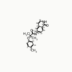 Cc1ccc(OC(C)(C)C(=O)Nc2ccc3c(=O)[nH]ccc3c2)cc1